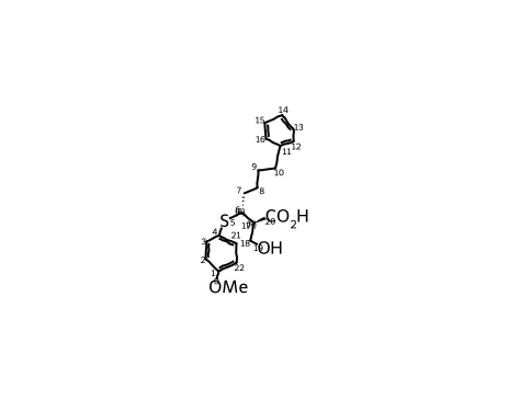 COc1ccc(S[C@H](CCCCc2ccccc2)[C@H](CO)C(=O)O)cc1